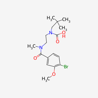 COc1cc(C(=O)N(C)CCN(CC(C)(C)C)C(=O)O)ccc1Br